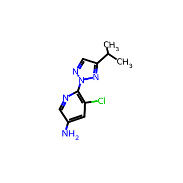 CC(C)c1cnn(-c2ncc(N)cc2Cl)n1